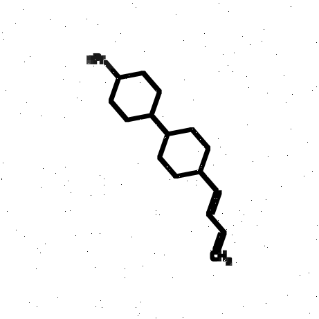 C=CC=CC1CCC(C2CCC(CCC)CC2)CC1